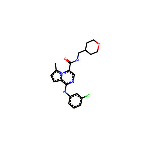 Cc1ccc2c(Nc3cccc(Cl)c3)ncc(C(=O)NCC3CCOCC3)n12